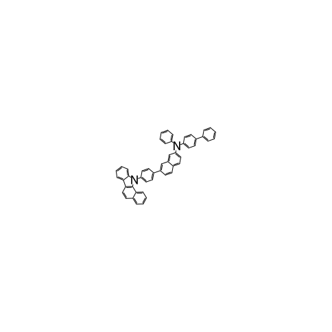 c1ccc(-c2ccc(N(c3ccccc3)c3ccc4ccc(-c5ccc(-n6c7ccccc7c7ccc8ccccc8c76)cc5)cc4c3)cc2)cc1